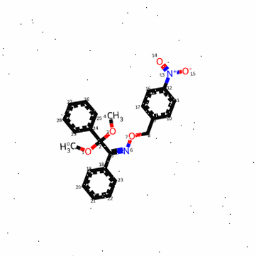 COC(OC)(C(=NOCc1ccc([N+](=O)[O-])cc1)c1ccccc1)c1ccccc1